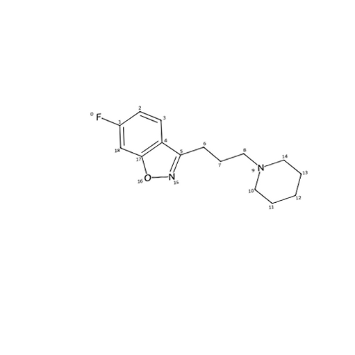 Fc1ccc2c(CCCN3CCCCC3)noc2c1